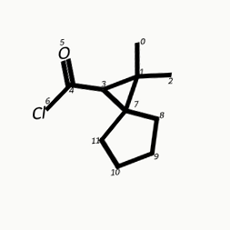 CC1(C)C(C(=O)Cl)C12CCCC2